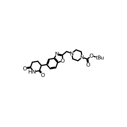 CC(C)(C)OC(=O)N1CCN(Cc2nc3cc(C4CCC(=O)NC4=O)ccc3o2)CC1